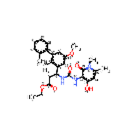 CCOC(=O)CC(NC(=O)Nc1c(O)cc(C)n(C)c1=O)c1cc(OC)cc(-c2ccccc2C)c1C